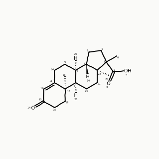 CC1(C(=O)O)CC[C@H]2[C@@H]3CCC4=CC(=O)CC[C@]4(C)[C@@H]3CC[C@@]21C